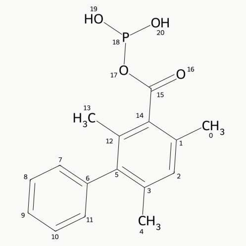 Cc1cc(C)c(-c2ccccc2)c(C)c1C(=O)OP(O)O